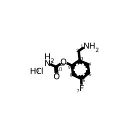 Cl.NCc1ccc(F)cc1OC(N)=O